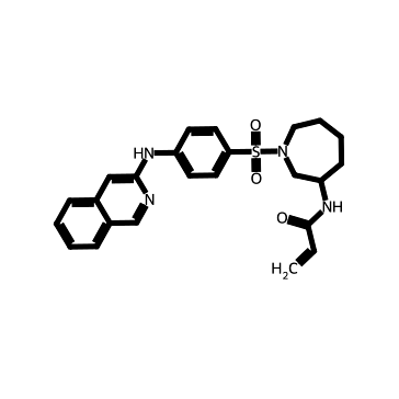 C=CC(=O)NC1CCCCN(S(=O)(=O)c2ccc(Nc3cc4ccccc4cn3)cc2)C1